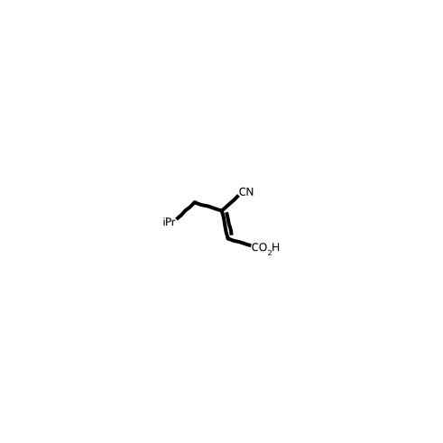 CC(C)CC(C#N)=CC(=O)O